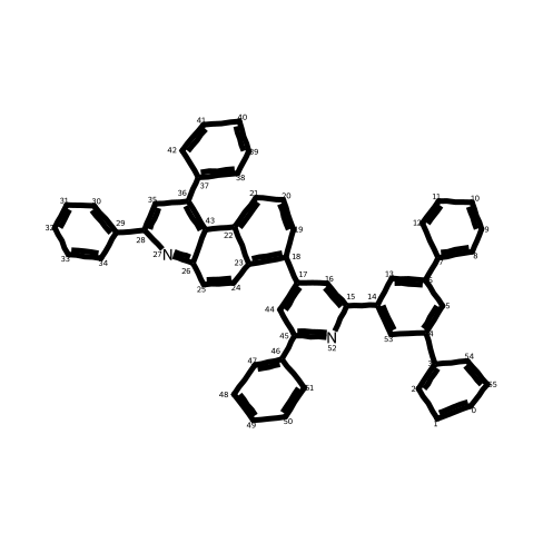 c1ccc(-c2cc(-c3ccccc3)cc(-c3cc(-c4cccc5c4ccc4nc(-c6ccccc6)cc(-c6ccccc6)c45)cc(-c4ccccc4)n3)c2)cc1